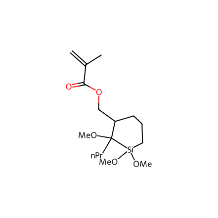 C=C(C)C(=O)OCC1CCC[Si](OC)(OC)C1(CCC)OC